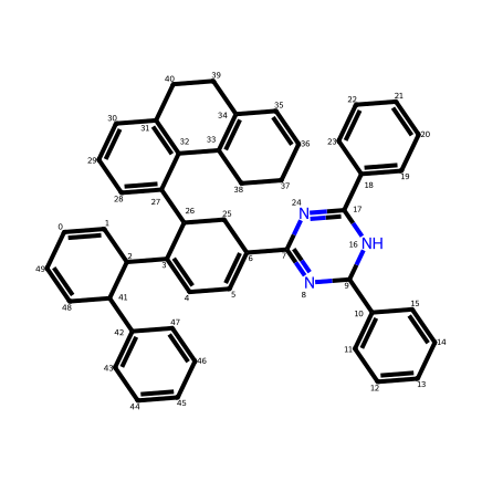 C1=CC(C2=CC=C(C3=NC(c4ccccc4)NC(c4ccccc4)=N3)CC2c2cccc3c2C2=C(C=CCC2)CC3)C(c2ccccc2)C=C1